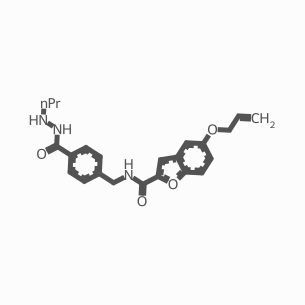 C=CCOc1ccc2oc(C(=O)NCc3ccc(C(=O)NNCCC)cc3)cc2c1